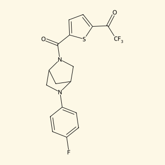 O=C(c1ccc(C(=O)C(F)(F)F)s1)N1CC2CC1CN2c1ccc(F)cc1